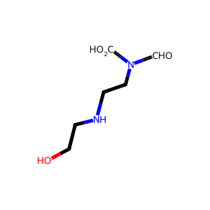 O=CN(CCNCCO)C(=O)O